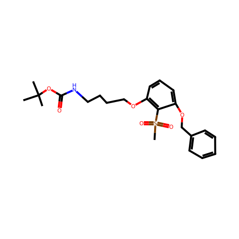 CC(C)(C)OC(=O)NCCCCOc1cccc(OCc2ccccc2)c1S(C)(=O)=O